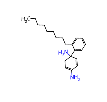 CCCCCCCCCc1ccccc1C1(N)C=CC(N)=CC1